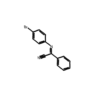 N#CC(=Nc1ccc(Br)cc1)c1ccccc1